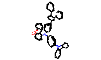 c1ccc(-c2ccc(-c3ccc(N(c4ccc(-n5c6ccccc6c6ccccc65)cc4)c4cccc5oc6ccccc6c45)cc3)cc2-c2ccccc2)cc1